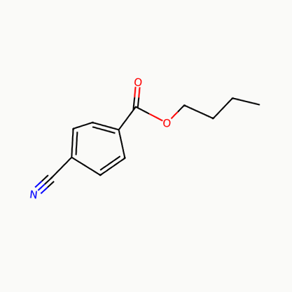 CCCCOC(=O)c1ccc(C#N)cc1